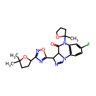 CC1(C)CCC(c2noc(C3N=CN4c5ccc(F)cc5N(C5(C)CCCO5)C(=O)C34)n2)O1